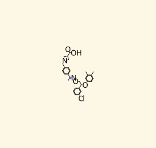 C/C(=N\OCC(Oc1ccc(C)c(C)c1)c1cccc(Cl)c1)c1ccc(CN2CC(C(=O)O)C2)cc1